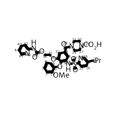 COc1ccccc1Oc1c(NS(=O)(=O)c2ccc(C(C)C)cn2)cc(C(=O)N2CCN(C(=O)O)CC2)cc1OCCOC(=O)Nc1ccccn1